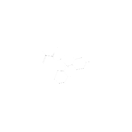 C=C(C)C(=O)OC(C)N(C1CCCCC1)C1CCCCC1